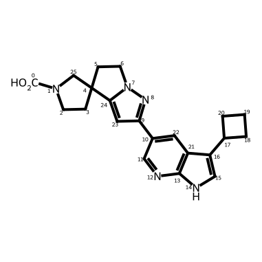 O=C(O)N1CCC2(CCn3nc(-c4cnc5[nH]cc(C6CCC6)c5c4)cc32)C1